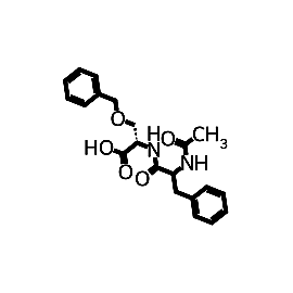 CC(=O)NC(Cc1ccccc1)C(=O)N[C@@H](COCc1ccccc1)C(=O)O